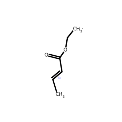 [CH2]COC(=O)/C=C/C